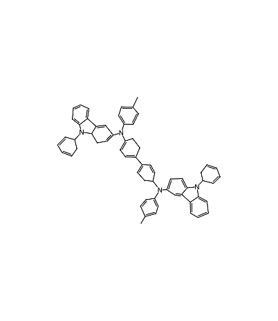 Cc1ccc(N(C2=CCC3C(=C2)c2ccccc2N3C2C=CC=CC2)C2=CC=C(C3=CCC(N(c4ccc(C)cc4)c4ccc5c(c4)c4ccccc4n5C4C=CC=CC4)C=C3)CC2)cc1